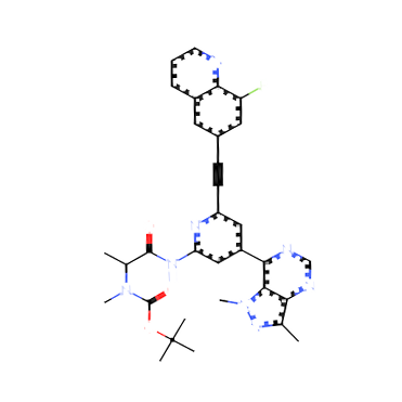 Cc1nn(C)c2c(-c3cc(C#Cc4cc(F)c5ncccc5c4)nc(NC(=O)C(C)N(C)C(=O)OC(C)(C)C)c3)ncnc12